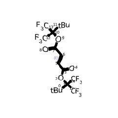 CC(C)(C)C(OC(=O)/C=C/C(=O)OC(C(C)(C)C)(C(F)(F)F)C(F)(F)F)(C(F)(F)F)C(F)(F)F